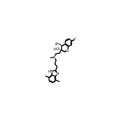 Cc1ccc(C)c2[nH]c(CCCN(C)CC[C@]3(O)COc4cc(F)ccc4[C@@H]3C(C)C)nc12